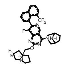 Fc1c(-c2cccc3cccc(C(F)(F)F)c23)ncc2c(N3CC4CCC(C3)N4)nc(OC[C@@]34CCCN3C[C@H](F)C4)nc12